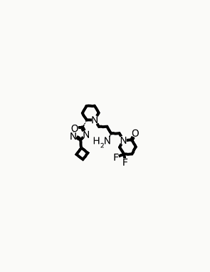 N[C@H](CCN1CCCC[C@H]1c1nc(C2CCC2)no1)CN1CC(F)(F)CCC1=O